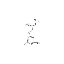 CCc1cc(C)cc(OCC(O)CN)c1